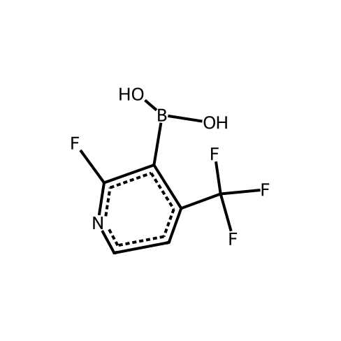 OB(O)c1c(C(F)(F)F)ccnc1F